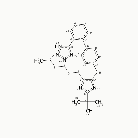 CCCCCCn1nc(C(C)(C)C)nc1Cc1ccc(-c2ccccc2-c2nnn[nH]2)cc1